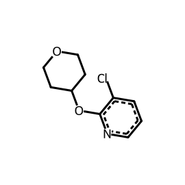 Clc1cccnc1OC1CCOCC1